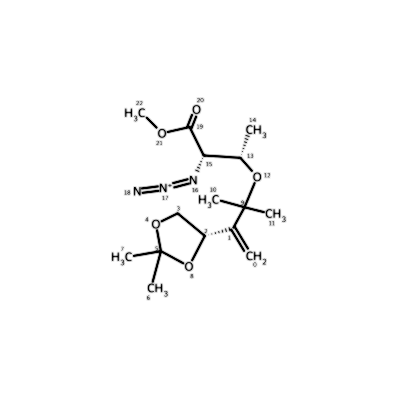 C=C([C@H]1COC(C)(C)O1)C(C)(C)O[C@@H](C)[C@H](N=[N+]=[N-])C(=O)OC